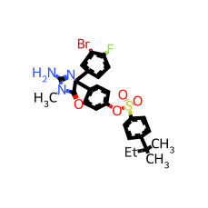 CCC(C)(C)c1ccc(S(=O)(=O)Oc2ccc(C3(c4ccc(F)c(Br)c4)N=C(N)N(C)C3=O)cc2)cc1